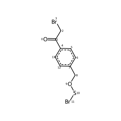 O=C(CBr)c1ccc(COSBr)cc1